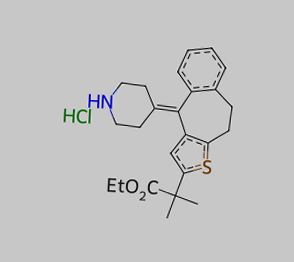 CCOC(=O)C(C)(C)c1cc2c(s1)CCc1ccccc1C2=C1CCNCC1.Cl